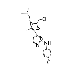 CC1=C(c2ccnc(Nc3ccc(Cl)cc3)n2)SC(C=O)N1CCC(C)C